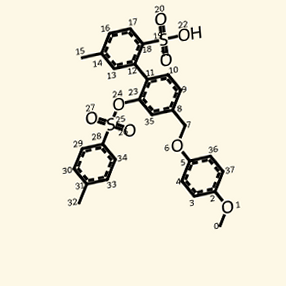 COc1ccc(OCc2ccc(-c3cc(C)ccc3S(=O)(=O)O)c(OS(=O)(=O)c3ccc(C)cc3)c2)cc1